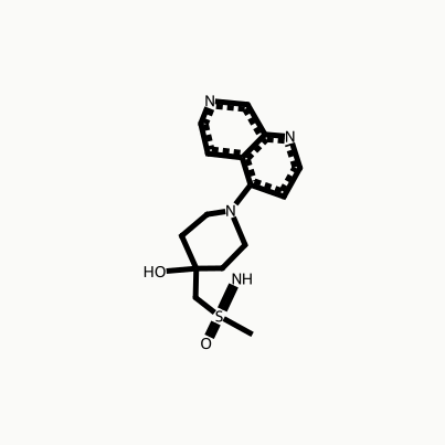 CS(=N)(=O)CC1(O)CCN(c2ccnc3cnccc23)CC1